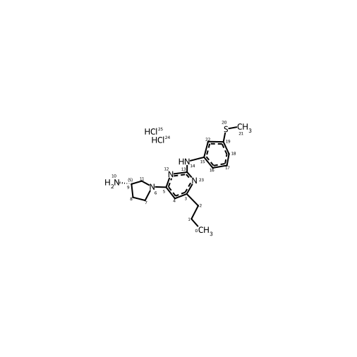 CCCc1cc(N2CC[C@H](N)C2)nc(Nc2cccc(SC)c2)n1.Cl.Cl